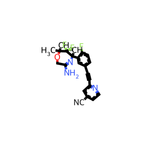 CC1(C)OCC(N)=NC(C)(c2cc(C#Cc3cc(C#N)ccn3)ccc2F)C1(F)F